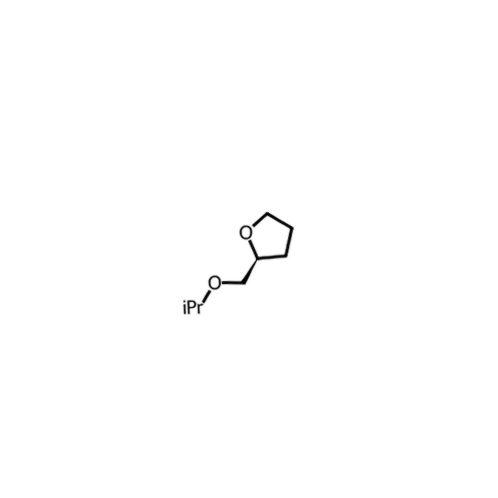 CC(C)OC[C@@H]1CCCO1